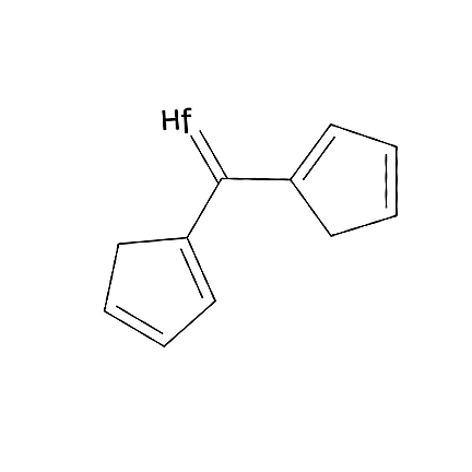 [Hf]=[C](C1=CC=CC1)C1=CC=CC1